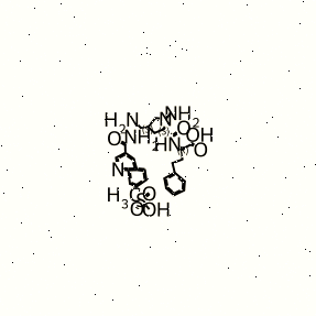 CS(=O)(=O)O.NC(=O)c1cnc2ccccc2c1.NC[C@@H]1C[C@@H](C(=O)N[C@H](CCc2ccccc2)C(=O)O)N(N)C1